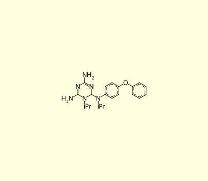 CC(C)N1C(N)=NC(N)=NC1N(c1ccc(Oc2ccccc2)cc1)C(C)C